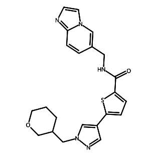 O=C(NCc1ccc2nccn2c1)c1ccc(-c2cnn(CC3CCCOC3)c2)s1